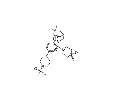 CC1(C)CC2CN(C(=O)N3CCS(=O)(=O)CC3)CC1N(c1ccc(N3CCN(S(C)(=O)=O)CC3)cc1)C2